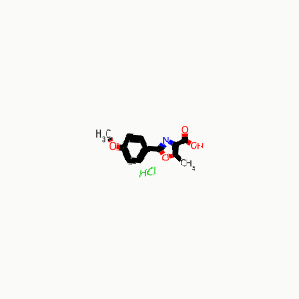 COc1ccc(-c2nc(C(=O)O)c(C)o2)cc1.Cl